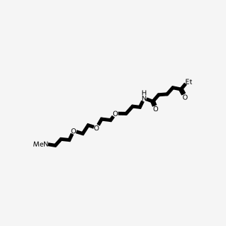 CCC(=O)CCCC(=O)NCCCOCCOCCOCCCNC